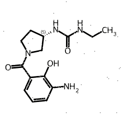 CCNC(=O)N[C@H]1CCN(C(=O)c2cccc(N)c2O)C1